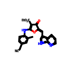 CCOC(=O)C1=C(Nc2ccc(CC#N)cc2C)OC(=Cc2c[nH]c3ncccc23)C1=O